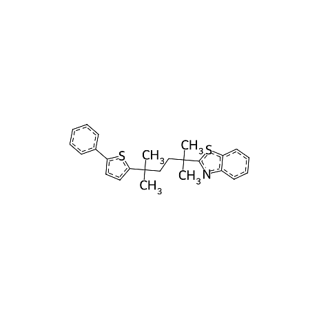 CC(C)(CCC(C)(C)c1nc2ccccc2s1)c1ccc(-c2ccccc2)s1